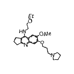 CCOCCNc1c2c(nc3cc(OCCCN4CCCC4)c(OC)cc13)CCC2